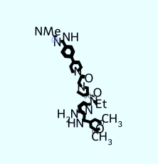 CCN(C(=O)[C@@H]1CCN(CC(=O)N2CC=C(c3ccc(C(=N)/N=C\NC)cc3)CC2)C1)c1ccc(N)c(C(=N)C2C[C@@H](C)O[C@@H](C)C2)n1